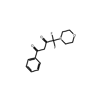 O=C(CC(=O)C(F)(F)N1CCOCC1)c1ccccc1